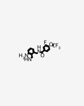 N=Cc1c(N)cccc1CNC(=O)c1ccc(OC(F)(F)F)c(F)c1